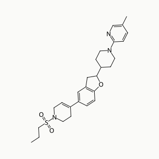 CCCS(=O)(=O)N1CC=C(c2ccc3c(c2)CC(C2CCN(c4ccc(C)cn4)CC2)O3)CC1